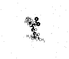 C=CCOC(=O)N1C[C@@H](N2CCC(=CC3=C(C(=O)OC(c4ccccc4)c4ccccc4)N4C(=O)[C@@H](NC(=O)OC(C)(C)C)[C@H]4SC3)C2=O)C[C@H]1C(=O)N(C)C